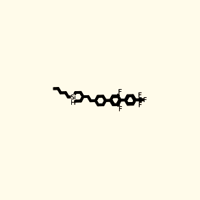 CCCCC[SiH]1CCC(CCC2CCC(c3cc(F)c(-c4ccc(C(F)(F)F)cc4)c(F)c3)CC2)CC1